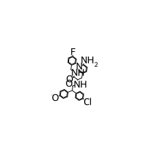 COc1ccc(C(C(=O)NC(Cc2ccc(N)nc2)C(=O)NCc2ccc(F)cc2)c2ccc(Cl)cc2)cc1